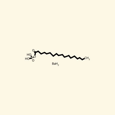 CCCCCCCCCCCCCCCCCC(=O)OP(=O)(O)O.[BaH2]